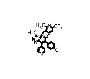 Cc1nc(C(F)(F)F)ccc1Cn1c(=O)c(-c2ccc(Cl)cc2)c(-c2ccncc2)c2nnc(C)n21